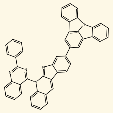 c1ccc(-c2nc(-n3c4nc5cc(-c6cc7c8ccccc8n8c9ccccc9c(c6)c78)ccc5c-4cc4ccccc43)c3ccccc3n2)cc1